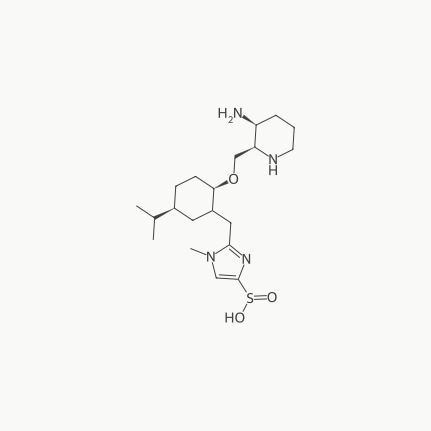 CC(C)[C@H]1CC[C@@H](OC[C@@H]2NCCC[C@@H]2N)C(Cc2nc(S(=O)O)cn2C)C1